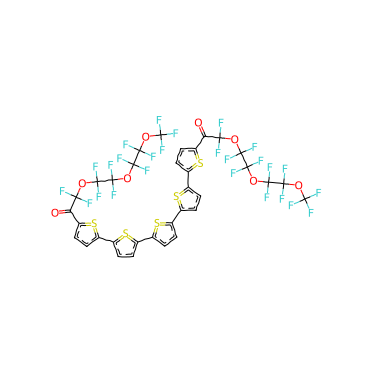 O=C(c1ccc(-c2ccc(-c3ccc(-c4ccc(-c5ccc(C(=O)C(F)(F)OC(F)(F)C(F)(F)OC(F)(F)C(F)(F)OC(F)(F)F)s5)s4)s3)s2)s1)C(F)(F)OC(F)(F)C(F)(F)OC(F)(F)C(F)(F)OC(F)(F)F